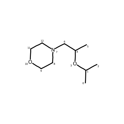 CC(C)OC(C)CN1CCOCC1